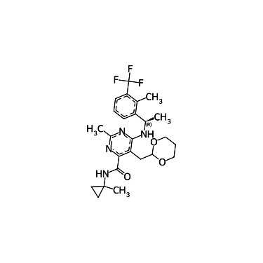 Cc1nc(N[C@H](C)c2cccc(C(F)(F)F)c2C)c(CC2OCCCO2)c(C(=O)NC2(C)CC2)n1